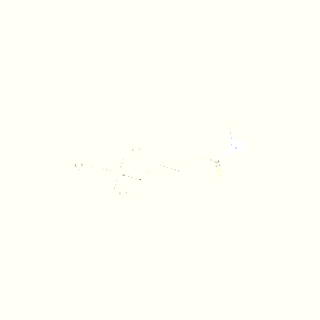 CCNC(=S)SCCC[Si](OC)(OC)OC